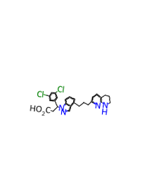 O=C(O)CC(c1cc(Cl)cc(Cl)c1)n1ncc2c(CCCc3ccc4c(n3)NCCC4)cccc21